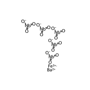 [Ba+2].[Fe+3].[O]=[Nb](=[O])[O-].[O]=[Nb](=[O])[O-].[O]=[Nb](=[O])[O-].[O]=[Nb](=[O])[O-].[O]=[Nb](=[O])[O-]